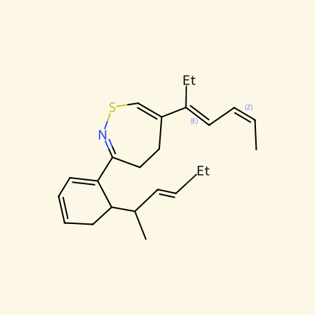 C/C=C\C=C(/CC)C1=CSN=C(C2=CC=CCC2C(C)C=CCC)CC1